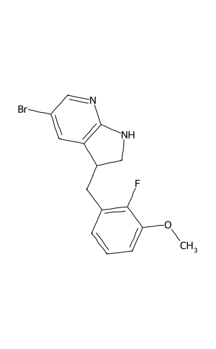 COc1cccc(CC2CNc3ncc(Br)cc32)c1F